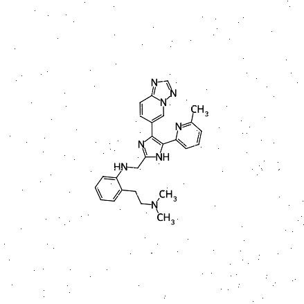 Cc1cccc(-c2[nH]c(CNc3ccccc3CCN(C)C)nc2-c2ccc3ncnn3c2)n1